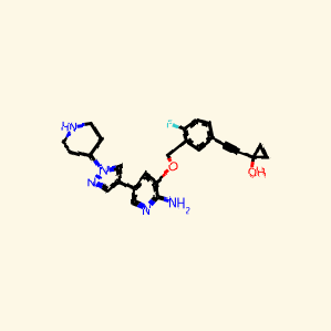 Nc1ncc(-c2cnn(C3CCNCC3)c2)cc1OCc1cc(C#CC2(O)CC2)ccc1F